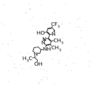 Cc1c(NC2CCCN(C(C)CO)C2)nnc(-c2ncc(C(F)(F)F)cc2O)c1C